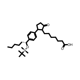 CCCCC[C@@H](O[Si](C)(C)C(C)(C)C)c1ccc(C2CCC(=O)C2CCCCCCC(=O)O)cc1